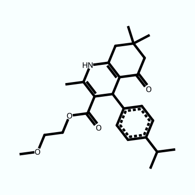 COCCOC(=O)C1=C(C)NC2=C(C(=O)CC(C)(C)C2)C1c1ccc(C(C)C)cc1